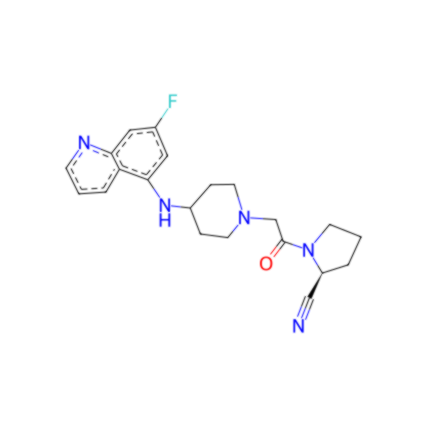 N#C[C@@H]1CCCN1C(=O)CN1CCC(Nc2cc(F)cc3ncccc23)CC1